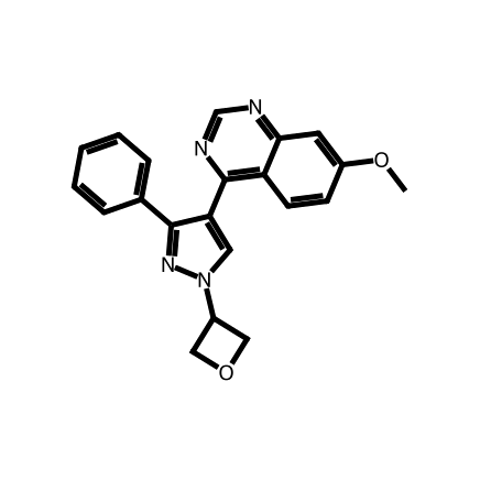 COc1ccc2c(-c3cn(C4COC4)nc3-c3ccccc3)ncnc2c1